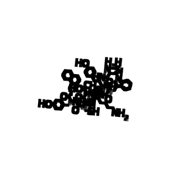 C[C@@H](O)[C@H](NC(=O)C(CCCCN)NC(=O)[C@@H](Cc1c[nH]c2ccccc12)NC(=O)C(Cc1ccc(O)cc1)NC(=O)C(N)CS)C(=O)N[C@H](CS)C(=O)N[C@H](Cc1ccc(O)cc1)C(=O)[CH]Cc1cccc2ccccc12